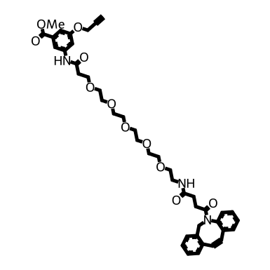 C#CCOc1cc(NC(=O)CCOCCOCCOCCOCCOCCNC(=O)CCC(=O)N2Cc3ccccc3C#Cc3ccccc32)cc(C(=O)OC)c1